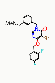 CNCc1cccc(Cn2cnc(OCc3ccc(F)cc3F)c(Br)c2=O)c1